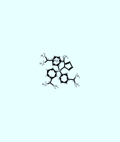 CC(C)C1=CC=C[C]1[Si](c1cccc(C(C)C)c1)(c1cccc(C(C)C)c1)c1cccc(C(C)C)c1